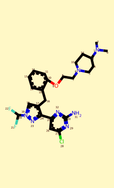 CN(C)C1CCN(CCOc2ccccc2Cc2cn(C(F)F)nc2-c2cc(Cl)nc(N)n2)CC1